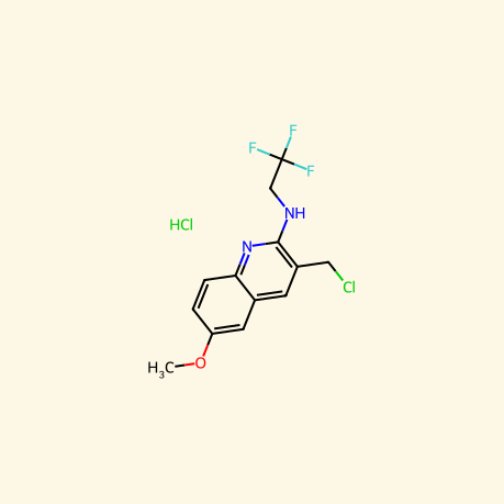 COc1ccc2nc(NCC(F)(F)F)c(CCl)cc2c1.Cl